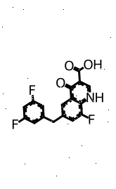 O=C(O)c1c[nH]c2c(F)cc(Cc3cc(F)cc(F)c3)cc2c1=O